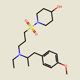 CCN(CCCS(=O)(=O)N1CCC(O)CC1)C(C)Cc1ccc(OC)cc1